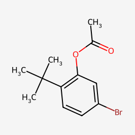 CC(=O)Oc1cc(Br)ccc1C(C)(C)C